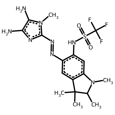 CC1N(C)c2cc(NS(=O)(=O)C(F)(F)F)c(N=Nc3nc(N)c(N)n3C)cc2C1(C)C